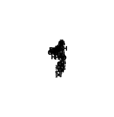 CC1(C)CCC(c2ccc(Cl)cc2)=C(CN2CCN(c3ccc(C(=O)NS(=O)(=O)c4ccc(N[C@H](CCN5C6CC5CN(Cc5ccc(N7CCC(=O)NC7=O)cc5)C6)CSc5ccccc5)c(S(=O)(=O)C(F)(F)F)c4)cc3)CC2)C1